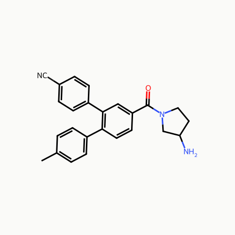 Cc1ccc(-c2ccc(C(=O)N3CCC(N)C3)cc2-c2ccc(C#N)cc2)cc1